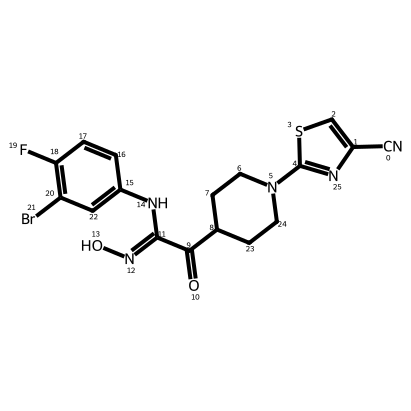 N#Cc1csc(N2CCC(C(=O)/C(=N/O)Nc3ccc(F)c(Br)c3)CC2)n1